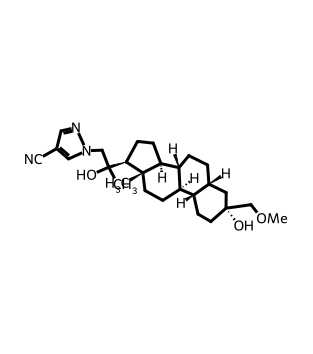 COC[C@@]1(O)CC[C@H]2[C@H](CC[C@@H]3[C@@H]2CC[C@]2(C)[C@@H](C(C)(O)Cn4cc(C#N)cn4)CC[C@@H]32)C1